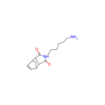 CCCCCCN.O=C1NC(=O)C2C3C=CC(C3)C12